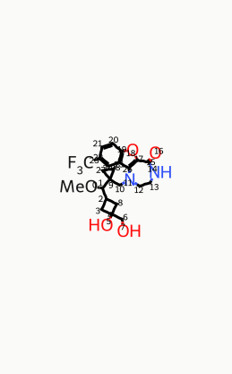 COC(C1CC(O)(CO)C1)C1(CN2CCNC(=O)c3oc4ccc(C(F)(F)F)cc4c32)CC1